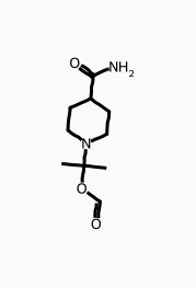 CC(C)(OC=O)N1CCC(C(N)=O)CC1